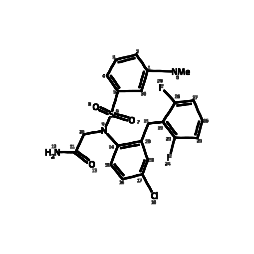 CNc1cccc(S(=O)(=O)N(CC(N)=O)c2ccc(Cl)cc2Cc2c(F)cccc2F)c1